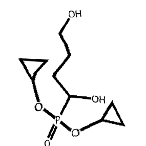 O=P(OC1CC1)(OC1CC1)C(O)CCCO